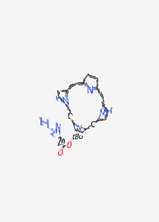 C1=Cc2cc3ccc(cc4nc(cc5ccc(cc1n2)[nH]5)C=C4)[nH]3.CC(C)(C)O[C](=O)[Zn][NH2]